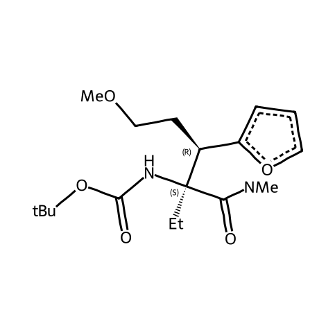 CC[C@@](NC(=O)OC(C)(C)C)(C(=O)NC)[C@@H](CCOC)c1ccco1